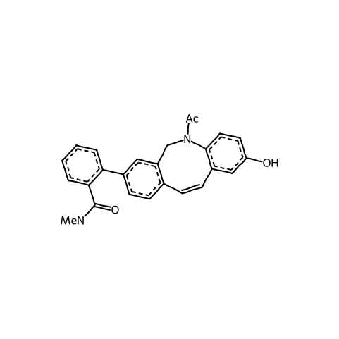 CNC(=O)c1ccccc1-c1ccc2c(c1)CN(C(C)=O)c1ccc(O)cc1C=C2